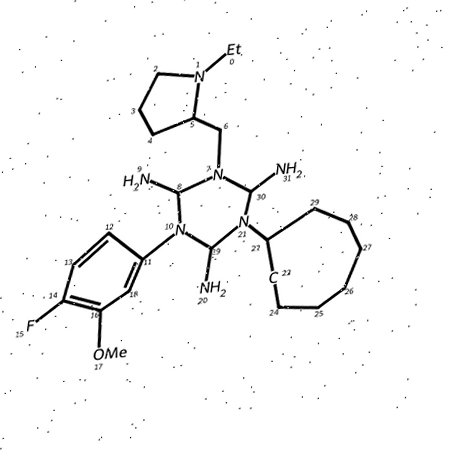 CCN1CCCC1CN1C(N)N(c2ccc(F)c(OC)c2)C(N)N(C2CCCCCCC2)C1N